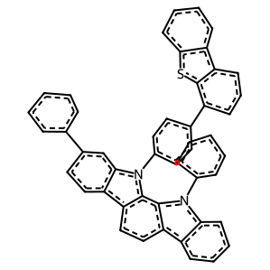 c1ccc(-c2ccc3c4ccc5c6ccccc6n(-c6ccccc6)c5c4n(-c4ccc(-c5cccc6c5sc5ccccc56)cc4)c3c2)cc1